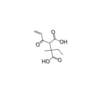 C=CC(=O)C(C(=O)O)C(C)(CC)C(=O)O